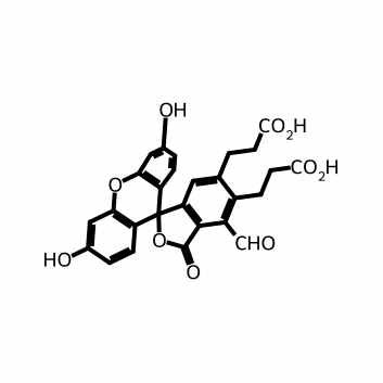 O=Cc1c(CCC(=O)O)c(CCC(=O)O)cc2c1C(=O)OC21c2ccc(O)cc2Oc2cc(O)ccc21